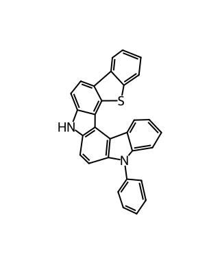 c1ccc(-n2c3ccccc3c3c4c(ccc32)[nH]c2ccc3c5ccccc5sc3c24)cc1